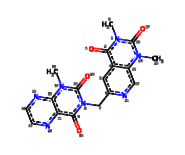 Cn1c(=O)c2cc(Cn3c(=O)c4nccnc4n(C)c3=O)ncc2n(C)c1=O